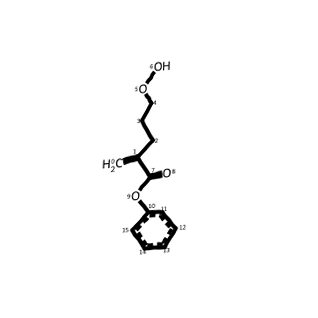 C=C(CCCOO)C(=O)Oc1ccccc1